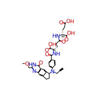 C#CCN(c1ccc(C(=O)N[C@@H](CCC(=O)N[C@H](CCC(=O)O)C(=O)O)C(=O)O)cc1)C1CCc2cc3nc(COC)[nH]c(=O)c3cc21